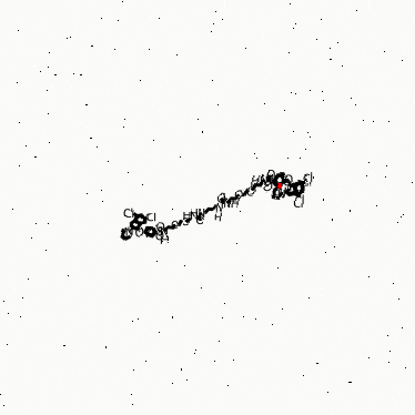 O=C(NCCCCNC(=O)NCCOCCOCCNS(=O)(=O)c1ccc(O[C@H]2c3cc(Cl)cc(Cl)c3C[C@@H]2N2CCCC2)cc1)NCCOCCOCCNS(=O)(=O)c1ccc(O[C@H]2c3cc(Cl)cc(Cl)c3C[C@@H]2N2CCCC2)cc1